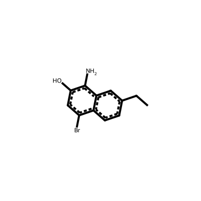 CCc1ccc2c(Br)cc(O)c(N)c2c1